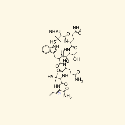 C=C/C=C(\NC(=O)C(NC(=O)C(CCC(N)=O)NC(=O)C(Cc1c[nH]c2ccccc12)NC(=O)C(NC(=O)C(CCC(N)=O)NC(=O)C(NC(C)=O)C(C)(C)S)C(C)O)C(C)(C)S)C(N)=O